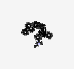 C=C/C=C(\C=C)c1cccc(-c2nc(-c3ccccc3)nc(-c3cccc(-c4cccc(-c5ccc6c7c(cccc57)-c5ccccc5-6)c4)c3)n2)c1